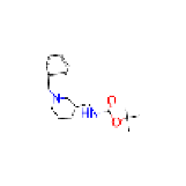 CC(C)(C)OC(=O)NCC1CCCN(Cc2ccccc2)C1